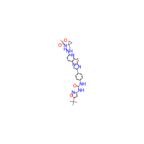 CC(C)(C)c1cc(NC(=O)Nc2ccc(-c3cn4c(n3)sc3nc(NCC5(NS(C)(=O)=O)CC5)ccc34)cc2)no1